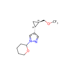 FC(F)(F)OC[C@@H]1C[C@H]1c1cnn(C2CCCCO2)c1